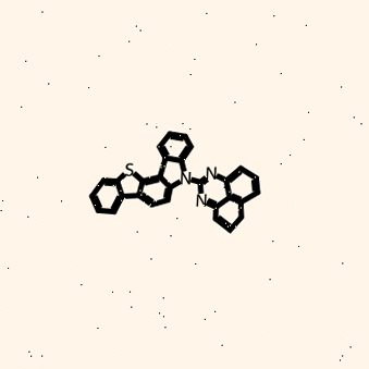 C1=Cc2nc(-n3c4ccccc4c4c5sc6ccccc6c5ccc43)nc3cccc(c23)C1